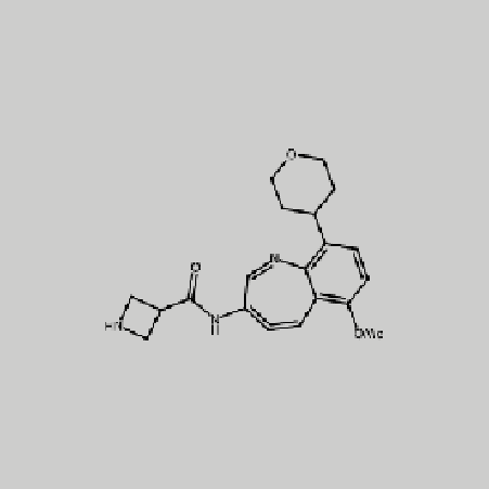 COc1ccc(C2CCOCC2)c2c1C=C=C(NC(=O)C1CNC1)C=N2